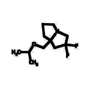 CC(C)OCC12CCCN1CC(F)(F)C2